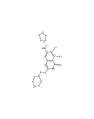 O=c1[nH]c(CSC2CCOCC2)nc2cc(NC[C@@H]3CCOC3)c(F)c(F)c12